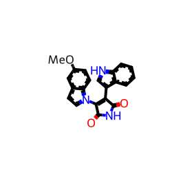 COc1ccc2c(ccn2C2=C(c3c[nH]c4ccccc34)C(=O)NC2=O)c1